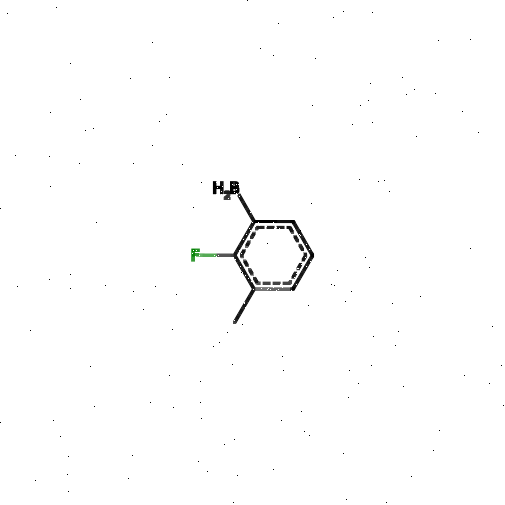 Bc1cccc(C)c1F